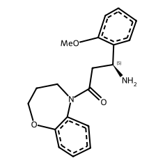 COc1ccccc1[C@@H](N)CC(=O)N1CCCOc2ccccc21